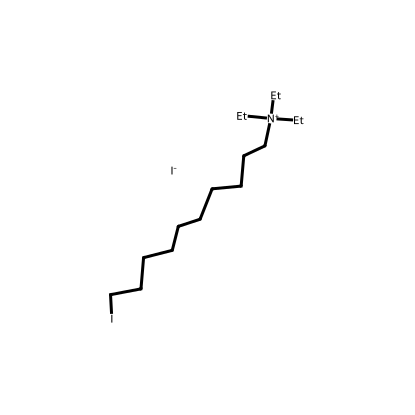 CC[N+](CC)(CC)CCCCCCCCCCI.[I-]